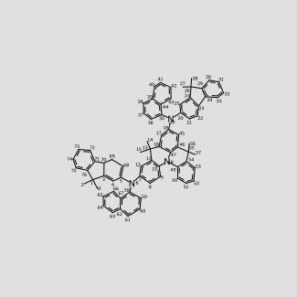 CC1(C)C2=CC(N(c3ccc4c(c3)C(C)(C)c3cc(N(c5ccc6c(c5)C(C)(C)c5ccccc5-6)c5cccc6ccccc56)cc5c3N4c3ccccc3C5(C)C)c3cccc4ccccc34)=CCC2c2ccccc21